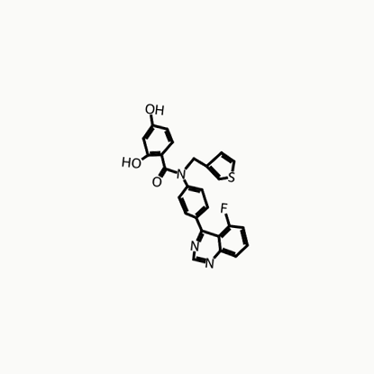 O=C(c1ccc(O)cc1O)N(Cc1ccsc1)c1ccc(-c2ncnc3cccc(F)c23)cc1